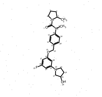 CC1CCCN1C(=O)N(C)c1ccc(COc2cc(F)cc(N3CCC(O)C3)c2)cc1